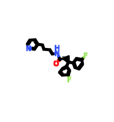 O=C(NCCCCc1cccnc1)[C@H]1CC1(c1cccc(F)c1)c1cccc(F)c1